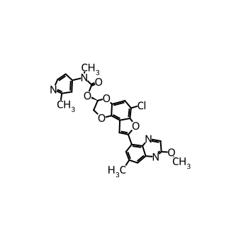 COc1cnc2c(-c3cc4c5c(cc(Cl)c4o3)O[C@H](OC(=O)N(C)c3ccnc(C)c3)CO5)cc(C)cc2n1